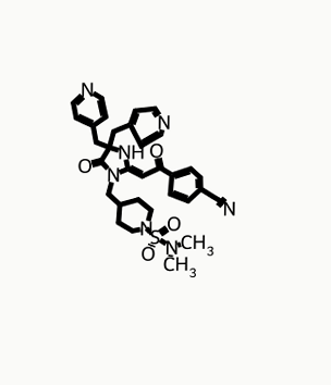 CN(C)S(=O)(=O)N1CCC(CN2C(=O)C(Cc3ccncc3)(Cc3ccncc3)N/C2=C\C(=O)c2ccc(C#N)cc2)CC1